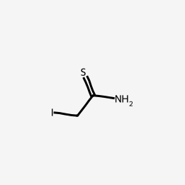 NC(=S)CI